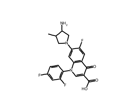 CC1CN(c2cc3c(cc2F)c(=O)c(C(=O)O)cn3-c2ccc(F)cc2F)CC1N